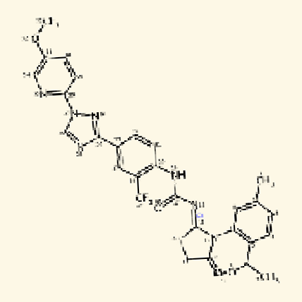 COC(C)c1ccc(C)cc1N1C(=O)CS/C1=N\C(=O)Nc1ccc(-c2ncn(-c3ccc(OC(F)(F)F)cn3)n2)cc1C(F)(F)F